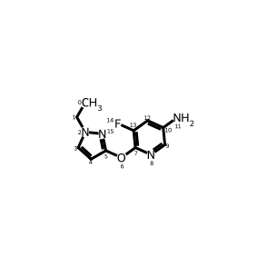 CCn1ccc(Oc2ncc(N)cc2F)n1